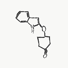 O=C1CCC(Oc2cc3ccccc3[nH]2)CC1